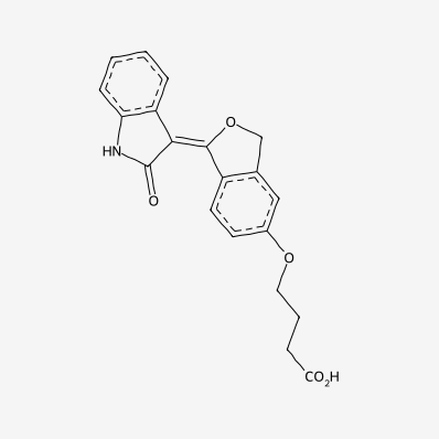 O=C(O)CCCOc1ccc2c(c1)COC2=C1C(=O)Nc2ccccc21